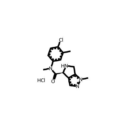 Cc1cc(N(C)C(=O)[C@H]2NCc3c2cnn3C)ccc1Cl.Cl